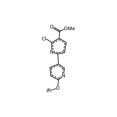 COC(=O)c1ccc(-c2ccc(OC(C)C)nc2)nc1Cl